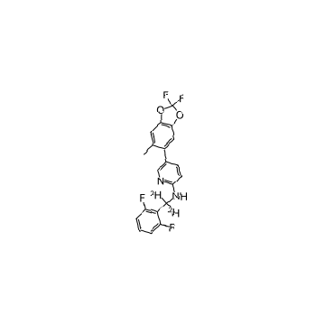 [2H]C([2H])(Nc1ccc(-c2cc3c(cc2C)OC(F)(F)O3)cn1)c1c(F)cccc1F